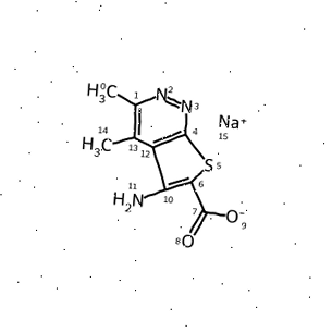 Cc1nnc2sc(C(=O)[O-])c(N)c2c1C.[Na+]